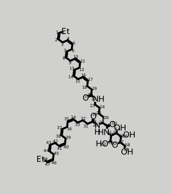 CC/C=C\C/C=C\C/C=C\C/C=C\C/C=C\C/C=C\CCC(=O)NCCCC[C@H](NC(=O)CCC/C=C\C/C=C\C/C=C\C/C=C\C/C=C\CC)C(=O)N[C@H]1C(O)[C@H](O)C(CO)O[C@H]1O